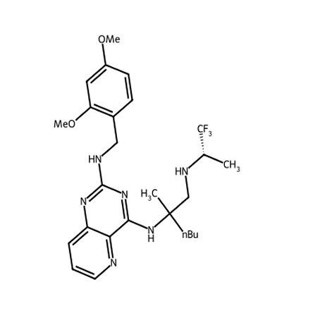 CCCCC(C)(CN[C@@H](C)C(F)(F)F)Nc1nc(NCc2ccc(OC)cc2OC)nc2cccnc12